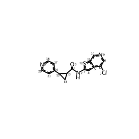 O=C(Nc1cc2c(Cl)cncc2s1)C1CC1c1ccncc1